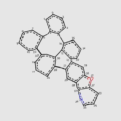 c1ccc2c(c1)-c1ccccc1-c1cccc(-c3ccc4oc5cccnc5c4c3)c1-c1ccccc1-2